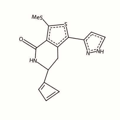 CSc1sc(-c2cc[nH]n2)c2c1C(=O)NC(C1=CC=C1)C2